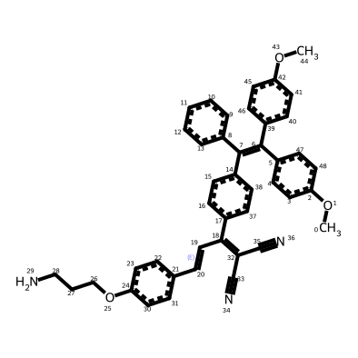 COc1ccc(C(=C(c2ccccc2)c2ccc(C(/C=C/c3ccc(OCCCN)cc3)=C(C#N)C#N)cc2)c2ccc(OC)cc2)cc1